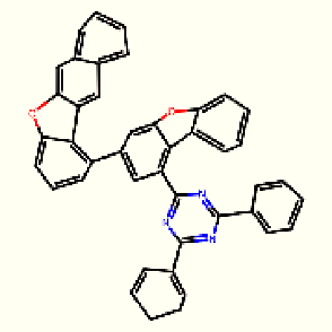 C1=CC(c2nc(-c3ccccc3)nc(-c3cc(-c4cccc5oc6cc7ccccc7cc6c45)cc4oc5ccccc5c34)n2)=CCC1